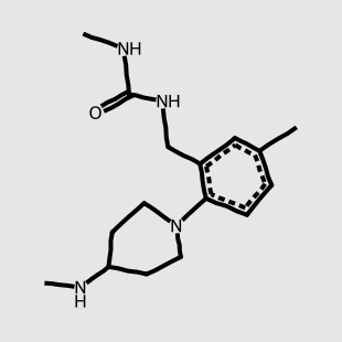 CNC(=O)NCc1cc(C)ccc1N1CCC(NC)CC1